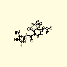 CC(C)N1NNN=C1NC(=O)c1ccc(OC(F)F)c(S(C)(=O)=O)c1Cl